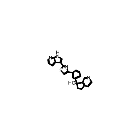 O[C@]1(c2cccc(-c3csc(-c4c[nH]c5ncccc45)n3)c2)CCc2ccncc21